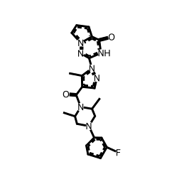 Cc1c(C(=O)N2C(C)CN(c3cccc(F)c3)CC2C)cnn1-c1nn2cccc2c(=O)[nH]1